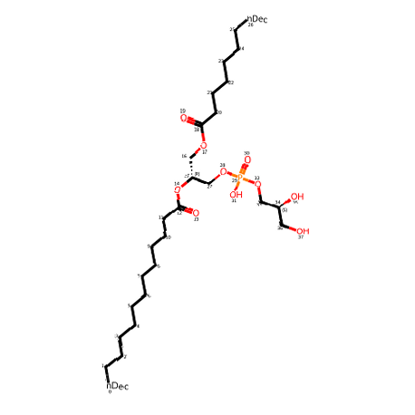 CCCCCCCCCCCCCCCCCCCCCC(=O)O[C@H](COC(=O)CCCCCCCCCCCCCCCC)COP(=O)(O)OC[C@@H](O)CO